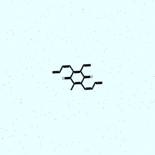 C=C/C=C\C1=C(C)C(=O)C(/C=C\C=C)=C(C=C)C1=O